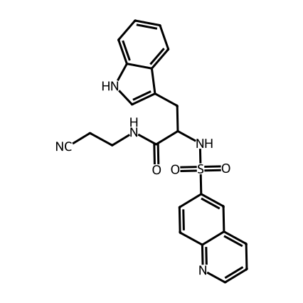 N#CCCNC(=O)C(Cc1c[nH]c2ccccc12)NS(=O)(=O)c1ccc2ncccc2c1